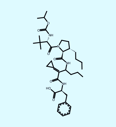 CCCC[C@H]1CCN(C(=O)[C@@H](NC(=O)OC(C)C)C(C)(C)C)[C@@H]1C(=O)NC(CCC)C(C(=O)N[C@@H](Cc1ccccc1)C(=O)O)=C1CC1